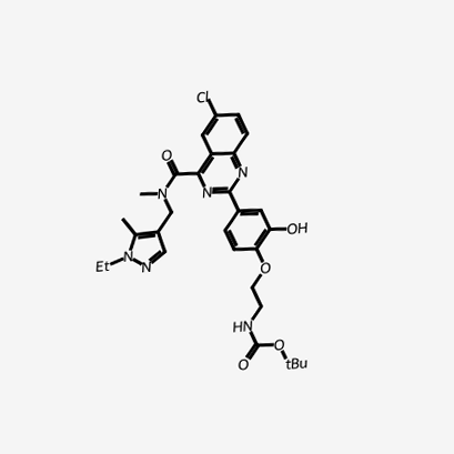 CCn1ncc(CN(C)C(=O)c2nc(-c3ccc(OCCNC(=O)OC(C)(C)C)c(O)c3)nc3ccc(Cl)cc23)c1C